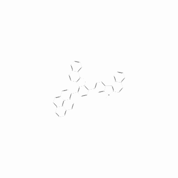 CC1(C)c2cc(-c3ccc(-c4ccc5ccc6cccc7ccc4c5c67)c4c3oc3c5ccccc5ccc34)ccc2-c2c1ccc1ccccc21